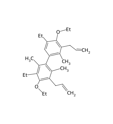 C=CCc1c(C)c(-c2c(C)c(CC)c(OCC)c(CC=C)c2C)cc(CC)c1OCC